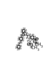 CCOC(=O)CCCCC(CCc1ccccc1OCc1ccc(CCc2ccccc2)cc1)Cc1ccc(C(=O)OCC)cc1